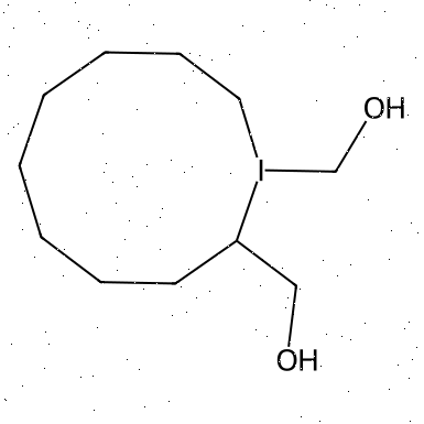 OCC1CCCCCCCCI1CO